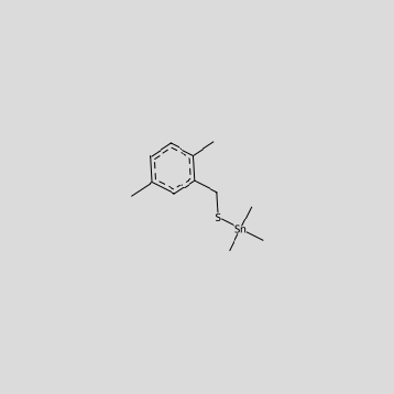 Cc1ccc(C)c(C[S][Sn]([CH3])([CH3])[CH3])c1